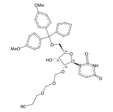 COc1ccc(C(OC[C@H]2O[C@@H](n3ccc(=O)[nH]c3=O)[C@H](OCOCOCCC#N)[C@@H]2O)(c2ccccc2)c2ccc(OC)cc2)cc1